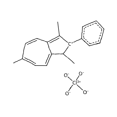 CC1=CC=C2C(=C(C)[C+](c3ccccc3)C2C)C=C1.[O-][Cl+3]([O-])([O-])[O-]